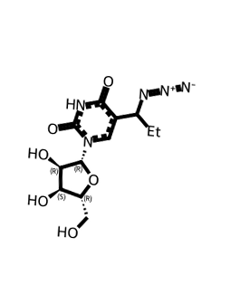 CCC(N=[N+]=[N-])c1cn([C@@H]2O[C@H](CO)[C@@H](O)[C@H]2O)c(=O)[nH]c1=O